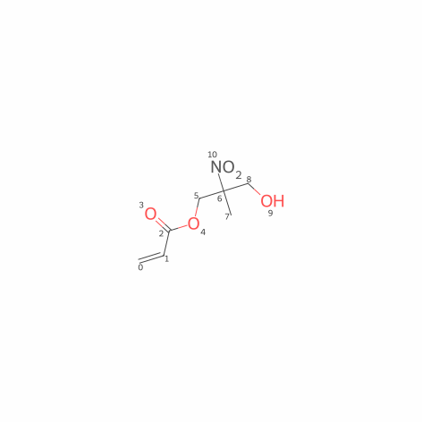 C=CC(=O)OCC(C)(CO)[N+](=O)[O-]